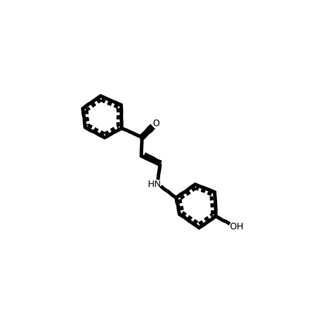 O=C(C=CNc1ccc(O)cc1)c1ccccc1